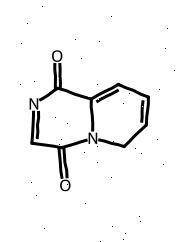 O=C1N=CC(=O)N2CC=CC=C12